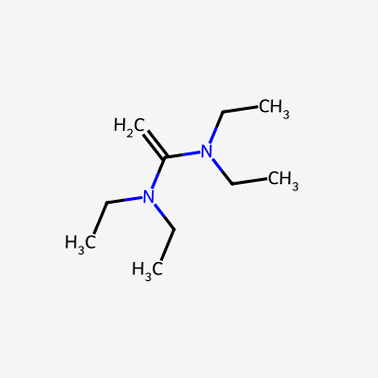 C=C(N(CC)CC)N(CC)CC